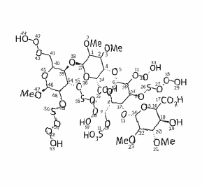 COC1C(OC)[C@H](O[C@H]2O[C@@H](COS(=O)(=O)O)[C@@H](O[C@@H]3OC(C(=O)O)[C@@H](O)[C@H](OC)C3OC)C(OSOOO)C2OOO)[C@H](C(=O)O)O[C@H]1O[C@@H]1C(COOO)O[C@H](OC)C(OSOOO)[C@H]1OSOOO